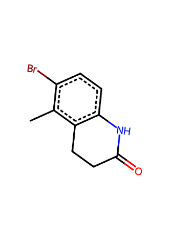 Cc1c(Br)ccc2c1CCC(=O)N2